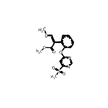 COC=C(C(=O)OC)c1ccccc1Oc1cc(S(C)(=O)=O)ncn1